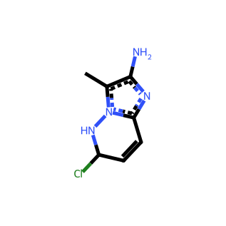 Cc1c(N)nc2n1NC(Cl)C=C2